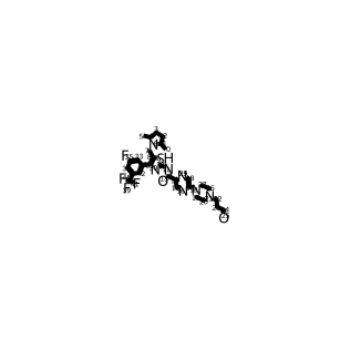 CC1CCC(C)N1Cc1sc(NC(=O)c2cnc(N3CCN(CCC=O)CC3)cn2)nc1-c1cc(F)cc(C(F)(F)F)c1